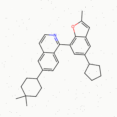 Cc1cc2cc(C3CCCC3)cc(-c3nccc4cc(C5CCC(C)(C)CC5)ccc34)c2o1